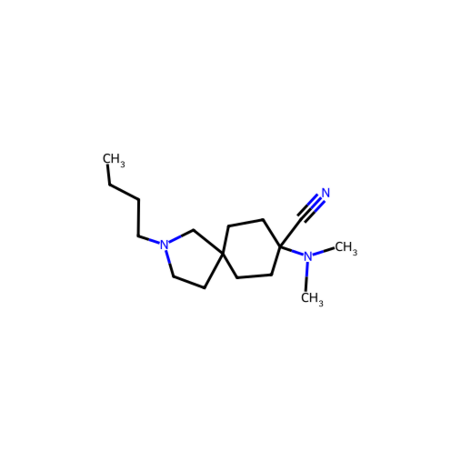 CCCCN1CCC2(CCC(C#N)(N(C)C)CC2)C1